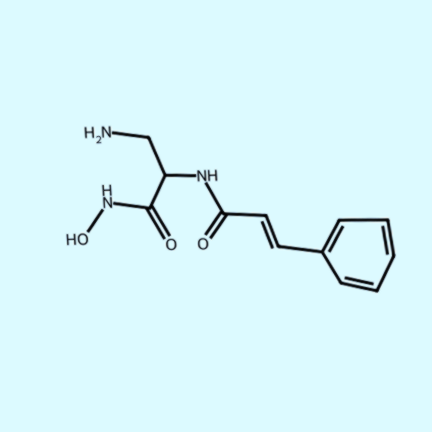 NCC(NC(=O)C=Cc1ccccc1)C(=O)NO